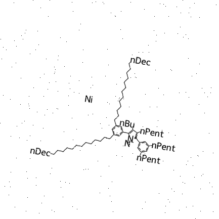 CCCCCCCCCCCCCCCCCCCCCCCc1cc(CCCCCCCCCCCCCCCCCCCCCCC)cc(C2=C(CCCC)C(CCCCC)=C(c3cc(CCCCC)cc(CCCCC)c3)[N+]2=[N-])c1.[Ni]